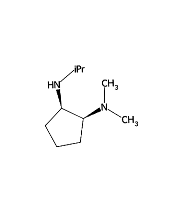 CC(C)N[C@@H]1CCC[C@@H]1N(C)C